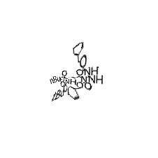 CCCCOC(=O)[C@H](CCCN(C(=N)NC(=O)OCc1ccccc1)C(=O)OCc1ccccc1)NC(=O)OC(C)(C)C